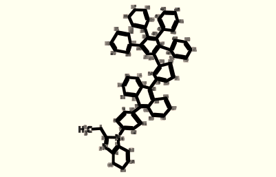 CCc1nc2c(n1-c1ccc(-c3c4ccccc4c(-c4cccc(-c5cc(-c6ccccc6)c(C6=CCCC=C6)c(-c6ccccc6)c5-c5ccccc5)c4)c4ccccc34)cc1)C=CCC2